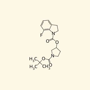 CC(C)(C)OC(=O)N1CCC(OC(=O)N2CCc3cccc(F)c32)C1